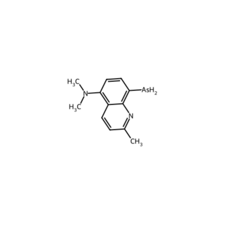 Cc1ccc2c(N(C)C)ccc([AsH2])c2n1